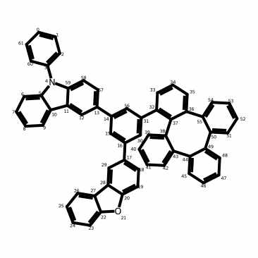 c1ccc(-n2c3ccccc3c3cc(-c4cc(-c5ccc6oc7ccccc7c6c5)cc(-c5cccc6c5-c5ccccc5-c5ccccc5-c5ccccc5-6)c4)ccc32)cc1